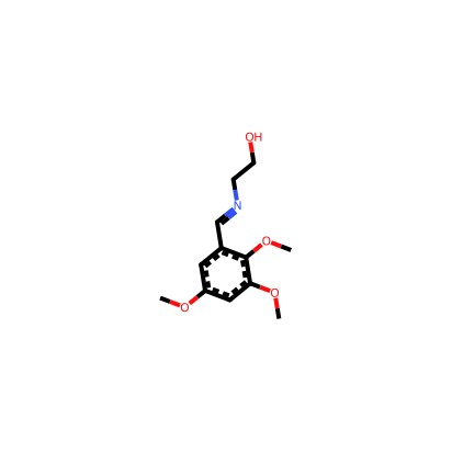 COc1cc(/C=N/CCO)c(OC)c(OC)c1